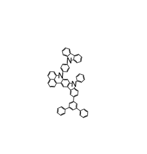 c1ccc(-c2cc(-c3ccccc3)cc(-c3ccc4c(c3)c3cc5c(cc3n4-c3ccccc3)N(c3ccc(-n4c6ccccc6c6ccccc64)cc3)c3cccc4cccc-5c34)c2)cc1